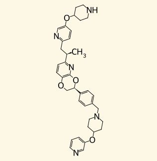 C[C@H](Cc1ccc(OC2CCNCC2)cn1)c1ccc2c(n1)O[C@@H](c1ccc(CN3CCC(Oc4cccnc4)CC3)cc1)CO2